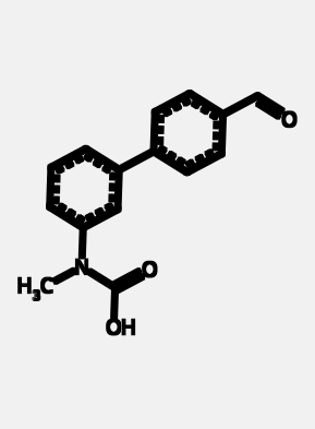 CN(C(=O)O)c1cccc(-c2ccc(C=O)cc2)c1